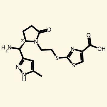 Cc1cc(C(N)[C@H]2CCC(=O)N2CCSc2nc(C(=O)O)cs2)n[nH]1